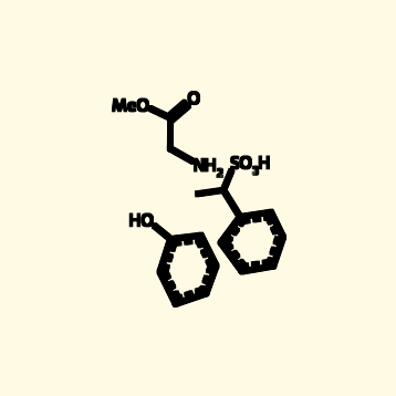 CC(c1ccccc1)S(=O)(=O)O.COC(=O)CN.Oc1ccccc1